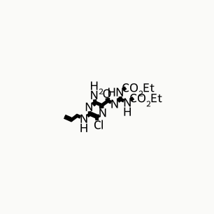 C=CCNc1nc(N)c(C(=O)N=C(NC(=O)OCC)NC(=O)OCC)nc1Cl